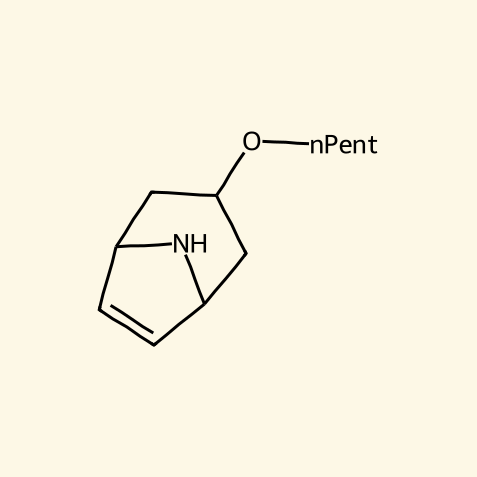 CCCCCOC1CC2C=CC(C1)N2